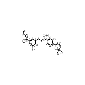 CCOC(=O)c1cc(CCC(O)c2ccc(C(=O)OC(C)(C)C)cc2)cc(C)n1